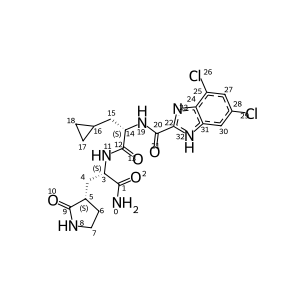 NC(=O)[C@H](C[C@@H]1CCNC1=O)NC(=O)[C@H](CC1CC1)NC(=O)c1nc2c(Cl)cc(Cl)cc2[nH]1